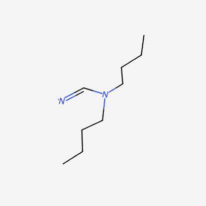 CCCCN(C=[N])CCCC